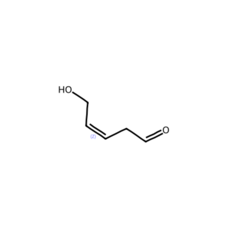 O=CC/C=C\CO